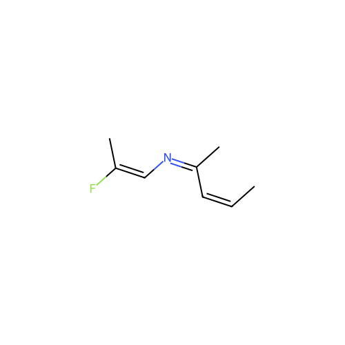 C\C=C/C(C)=N\C=C(/C)F